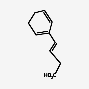 O=C(O)C/C=C/C1=CCCC=C1